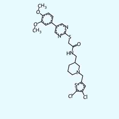 COc1ccc(-c2cnc(SCC(=O)NCC3CCCN(Cc4cc(Cl)c(Cl)s4)C3)nc2)cc1OC